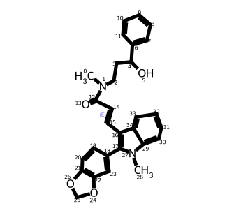 CN(CCC(O)c1ccccc1)C(=O)/C=C/c1c(-c2ccc3c(c2)OCO3)n(C)c2ccccc12